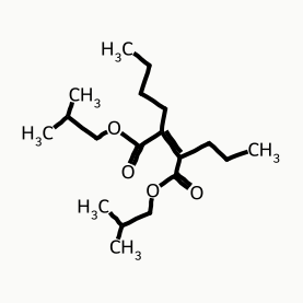 CCCC/C(C(=O)OCC(C)C)=C(\CCC)C(=O)OCC(C)C